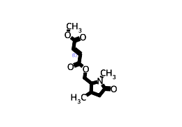 COC(=O)/C=C/C(=O)OCC1C(C)CC(=O)N1C